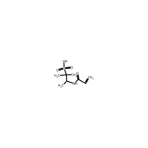 C=CC(=O)NC(C)C(C)(C)S(=O)(=O)O